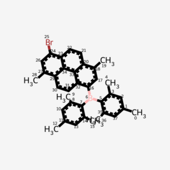 Cc1cc(C)c(B(c2c(C)cc(C)cc2C)c2cc(C)c3ccc4c(Br)cc(C)c5ccc2c3c54)c(C)c1